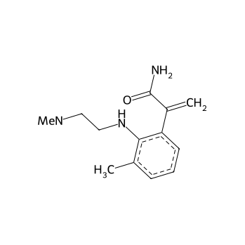 C=C(C(N)=O)c1cccc(C)c1NCCNC